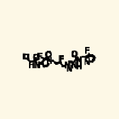 O=C(CC1CCC1)Nc1ccn(CCC(F)Cn2cc(C(=O)NCc3ncccc3F)nn2)c(=O)c1F